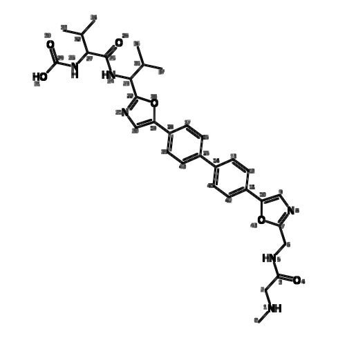 CNCC(=O)NCc1ncc(-c2ccc(-c3ccc(-c4cnc(C(NC(=O)C(NC(=O)O)C(C)C)C(C)C)o4)cc3)cc2)o1